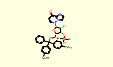 COc1ccc(C(OC[C@H]2O[C@@H](n3ccc(=O)c4nccn43)[C@H](O)[C@@H]2O[Si](C(C)C)(C(C)C)C(C)C)(c2ccccc2)c2ccc(OC)cc2)cc1